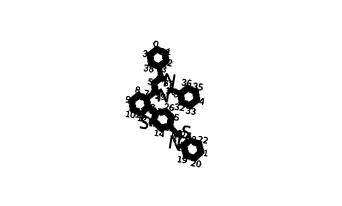 c1ccc(-c2cc(-c3cccc4sc5cc(-c6nc7ccccc7s6)ccc5c34)nc(-c3ccccc3)n2)cc1